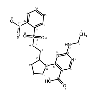 CCNc1ncc(C(=O)O)c(N2CCCC2CNS(=O)(=O)c2ccccc2[N+](=O)[O-])n1